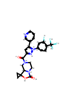 O=C(c1cc(-c2cccnc2)n(-c2ccc(C(F)(F)F)c(F)c2)n1)N1CCN2C(=O)OC3(CC3)C2C1